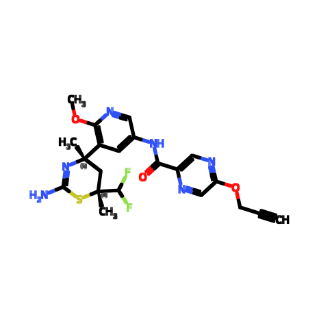 C#CCOc1cnc(C(=O)Nc2cnc(OC)c([C@]3(C)C[C@](C)(C(F)F)SC(N)=N3)c2)cn1